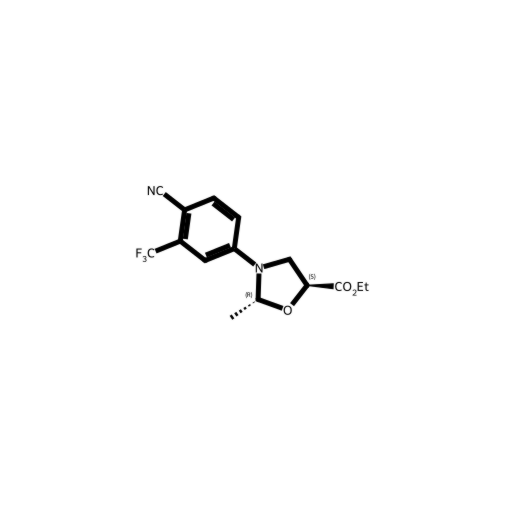 CCOC(=O)[C@@H]1CN(c2ccc(C#N)c(C(F)(F)F)c2)[C@@H](C)O1